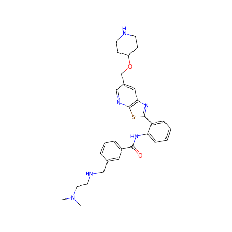 CN(C)CCNCc1cccc(C(=O)Nc2ccccc2-c2nc3cc(COC4CCNCC4)cnc3s2)c1